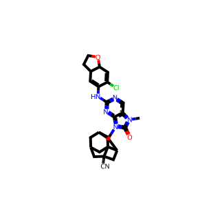 Cn1c(=O)n(C2C3CC4CC5(C#N)CC2C5(C4)C3)c2nc(NC3=CC4CCOC4C=C3Cl)ncc21